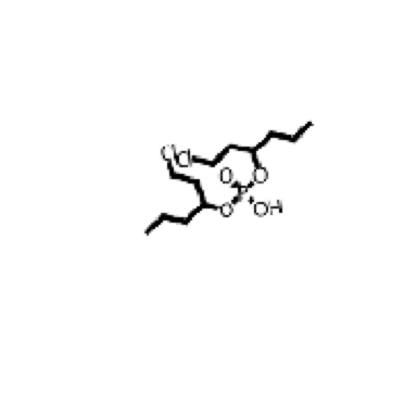 CCCC(CCCl)OP(=O)(O)OC(CCC)CCCl